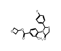 Cc1cc(C(=O)OC2COC2)ccc1N1C(=O)CSC1c1ccc(F)cc1